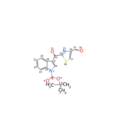 CC(C)(C)OC(=O)n1cc(C(=O)c2nc(C=O)cs2)c2ccccc21